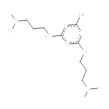 CCN(CC)CCCNc1nc(N)nc(NCCCN(CC)CC)n1